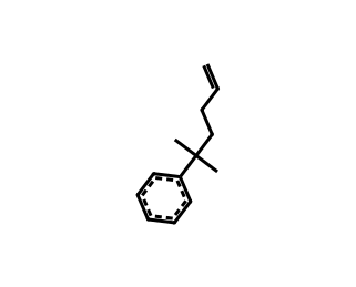 C=CCCC(C)(C)c1ccccc1